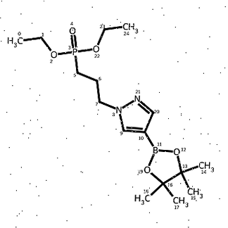 CCOP(=O)(CCCn1cc(B2OC(C)(C)C(C)(C)O2)cn1)OCC